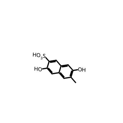 Cc1cc2cc(O)c(S(=O)(=O)O)cc2cc1O